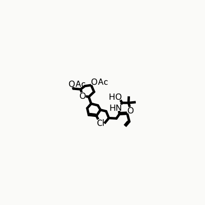 C=CC1=C(CC(C)CC2CC(C3CC(OC(C)=O)CC(COC(C)=O)O3)CC=C2Cl)NC(O)C(C)(C)O1